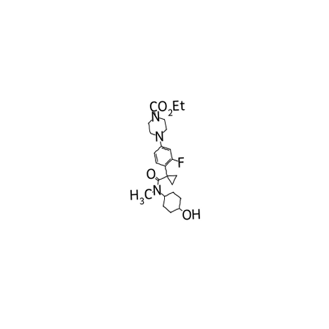 CCOC(=O)N1CCN(c2ccc(C3(C(=O)N(C)C4CCC(O)CC4)CC3)c(F)c2)CC1